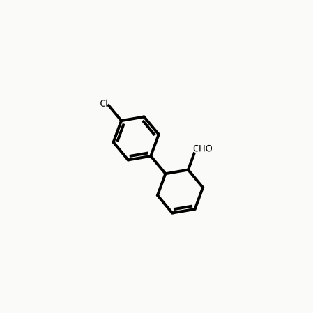 O=CC1CC=CCC1c1ccc(Cl)cc1